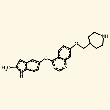 Cc1cc2cc(Oc3ncnc4cc(OCC5CCNCC5)ccc34)ccc2[nH]1